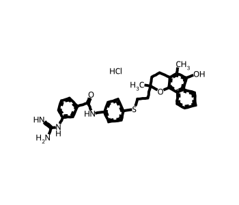 Cc1c2c(c3ccccc3c1O)OC(C)(CCSc1ccc(NC(=O)c3cccc(NC(=N)N)c3)cc1)CC2.Cl